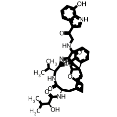 CC(C)[C@H](O)C(=O)N[C@H]1Cc2ccc3c(c2)[C@@]2(c4ccccc4NC2O3)c2oc(nc2C(=O)NCC(=O)c2c[nH]c3c(O)cccc23)[C@H](C(C)C)NC1=O